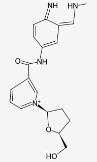 CN/C=C1/C=C(NC(=O)c2ccc[n+]([C@H]3CC[C@@H](CO)O3)c2)C=CC1=N